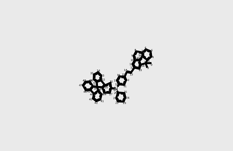 CC1(C)c2cccc3ccc4cc(/C=C/c5ccc(N(c6ccccc6)c6ccc7c(c6)-c6ccccc6C76c7ccccc7-c7ccccc76)cc5)cc1c4c23